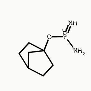 N=[PH](N)OC12CCC(CC1)C2